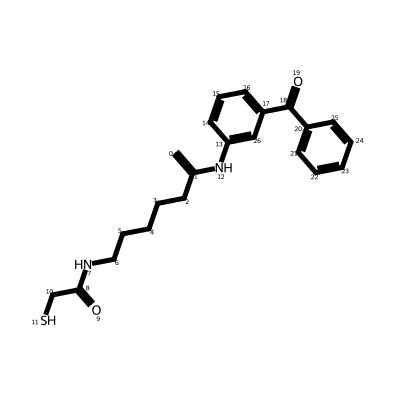 C=C(CCCCCNC(=O)CS)Nc1cccc(C(=O)c2ccccc2)c1